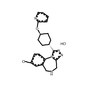 Cl.Clc1ccc2c(c1)CNCc1nnc([C@H]3CC[C@H](Oc4ccccn4)CC3)n1-2